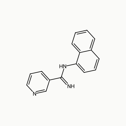 N=C(Nc1cccc2ccccc12)c1cccnc1